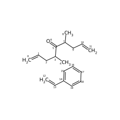 C=CCC(C)C(=O)C(C)CC=C.C=Cc1ccccc1